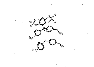 Cc1ccc([I+]c2ccc(CC(C)C)cc2)cc1.Cc1ccc([I+]c2ccc(CC(C)C)cc2)cc1.O=S(=O)([O-])Oc1ccc(OS(=O)(=O)[O-])cc1